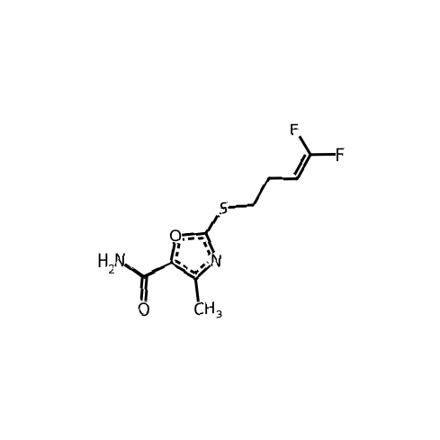 Cc1nc(SCCC=C(F)F)oc1C(N)=O